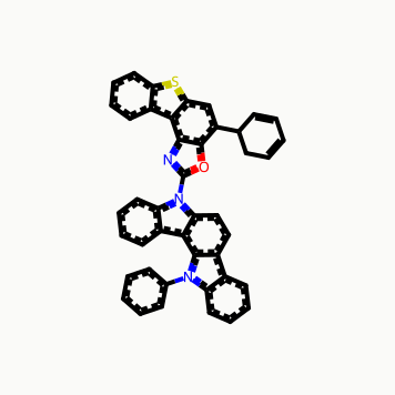 C1=CCC(c2cc3sc4ccccc4c3c3nc(-n4c5ccccc5c5c4ccc4c6ccccc6n(-c6ccccc6)c45)oc23)C=C1